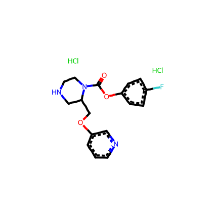 Cl.Cl.O=C(Oc1ccc(F)cc1)N1CCNCC1COc1cccnc1